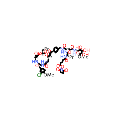 COc1ccc(C[C@H]2NC(=O)/C=C/C[C@@H]([C@H](C)[C@H]3O[C@@H]3c3ccc(CNC(=O)[C@H](CCC(=O)NC[C@H]4O[C@@H](OC)[C@H](O)[C@@H](O)[C@@H]4O)NC(=O)[C@@H](NC(=O)CCCC(=O)ON4C(=O)CCC4=O)C(C)C)cc3)OC(=O)[C@H](CC(C)C)OC(=O)C(C)(C)CNC2=O)cc1Cl